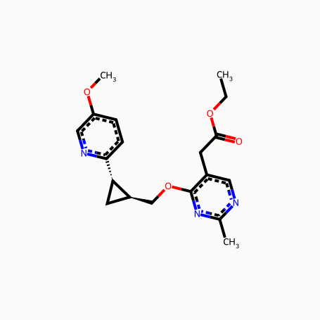 CCOC(=O)Cc1cnc(C)nc1OC[C@H]1C[C@@H]1c1ccc(OC)cn1